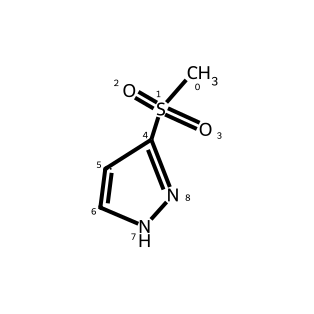 CS(=O)(=O)c1[c]c[nH]n1